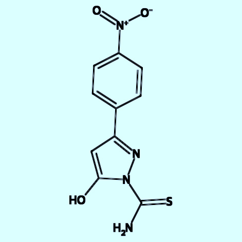 NC(=S)n1nc(-c2ccc([N+](=O)[O-])cc2)cc1O